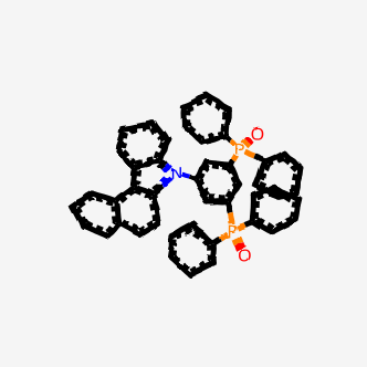 O=P(c1ccccc1)(c1ccccc1)c1cc(-n2c3ccccc3c3c4ccccc4ccc32)cc(P(=O)(c2ccccc2)c2ccccc2)c1